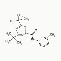 Cc1cccc(NC(=O)c2cc(C(C)(C)C)cc(C(C)(C)C)c2)c1